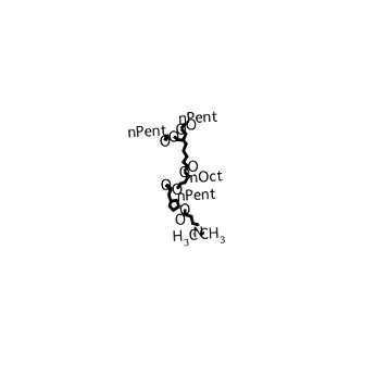 CCCCCCCCC(CCOC(=O)CC1CCC(OC(=O)CCCN(C)C)C1CCCCC)OC(=O)CCCCC(COC(=O)CCCCC)COC(=O)CCCCC